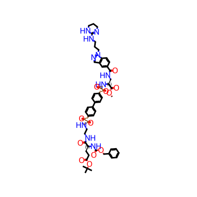 COC(=O)[C@H](CNC(=O)c1ccc2c(cnn2CCCNC2=NCCCN2)c1)NS(=O)(=O)c1ccc(-c2ccc(S(=O)(=O)NCCNC(=O)[C@H](CCC(=O)OC(C)(C)C)NC(=O)OCc3ccccc3)cc2)cc1